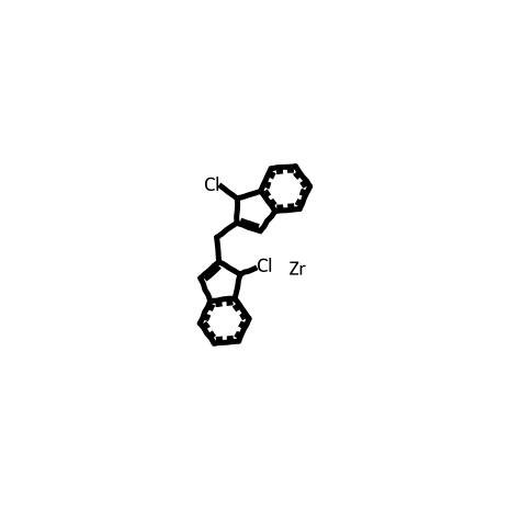 ClC1C(CC2=Cc3ccccc3C2Cl)=Cc2ccccc21.[Zr]